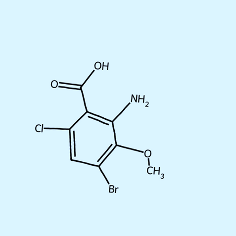 COc1c(Br)cc(Cl)c(C(=O)O)c1N